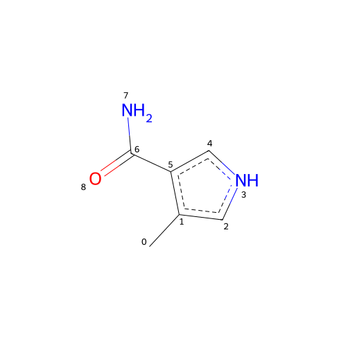 Cc1c[nH]cc1C(N)=O